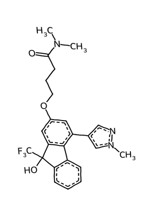 CN(C)C(=O)CCCOc1cc(-c2cnn(C)c2)c2c(c1)C(O)(C(F)(F)F)c1ccccc1-2